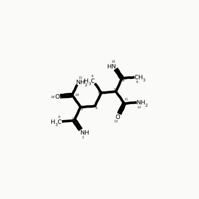 CC(=N)C(CC(C)C(C(C)=N)C(N)=O)C(N)=O